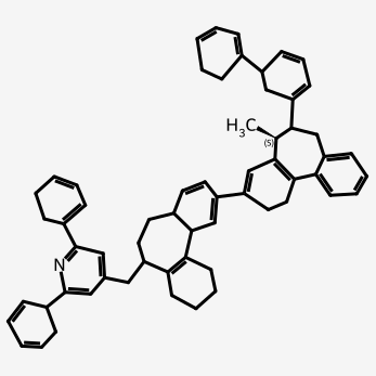 C[C@@H]1C2=C(CCC(C3=CC4C5=C(CCCC5)C(Cc5cc(C6=CC=CCC6)nc(C6C=CC=CC6)c5)CCC4C=C3)=C2)c2ccccc2CC1C1=CC=CC(C2=CC=CCC2)C1